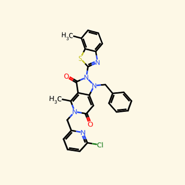 Cc1cccc2nc(-n3c(=O)c4c(C)n(Cc5cccc(Cl)n5)c(=O)cc4n3Cc3ccccc3)sc12